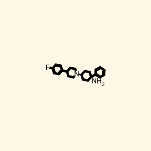 N[C@]1(c2ccccc2)CC[C@H](N2CCC(c3ccc(F)cc3)CC2)CC1